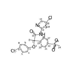 CC(Oc1ccc(Cl)cc1)(C(=O)Nc1ncc(Cl)s1)c1ccc(S(C)(=O)=O)cc1